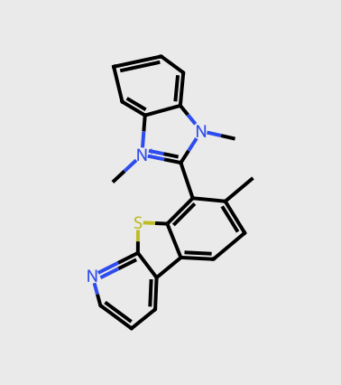 Cc1ccc2c(sc3ncccc32)c1-c1n(C)c2ccccc2[n+]1C